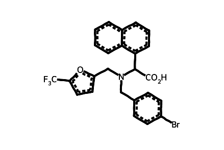 O=C(O)C(c1cccc2ccccc12)N(Cc1ccc(Br)cc1)Cc1ccc(C(F)(F)F)o1